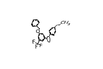 CCCc1ccc(Oc2cc(OCc3ccccc3)cc(C(F)(F)F)c2)cc1